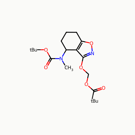 CN(C(=O)OC(C)(C)C)C1CCCc2onc(OCOC(=O)C(C)(C)C)c21